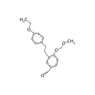 CCOc1ccc(CCc2cc(C=O)ccc2OCOC)cc1